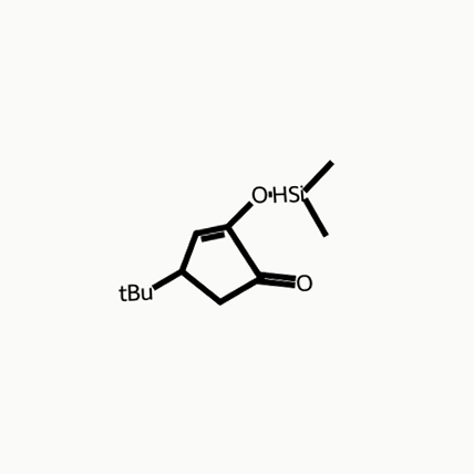 C[SiH](C)OC1=CC(C(C)(C)C)CC1=O